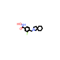 O=C(NO)c1ccc(CN2CCC3(CCCCC3)C2)c(F)c1